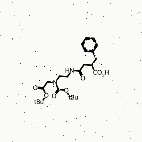 CC(C)(C)OC(=O)CN(CCNC(=O)CC(Cc1ccccc1)C(=O)O)C(=O)OC(C)(C)C